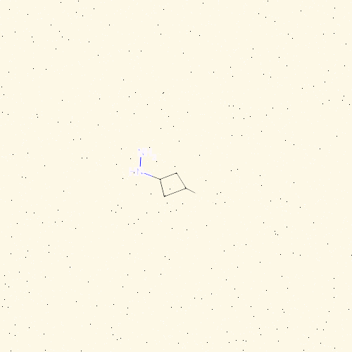 NNC1CC(C(=O)O)C1